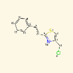 ClCc1csc(C=Cc2ccccc2)n1